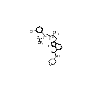 C[C@H](Cc1c[nH]c2c(C(=O)NC3CCOCC3)cccc12)NC[C@H](OC(=O)C(F)(F)F)c1cccc(Cl)c1